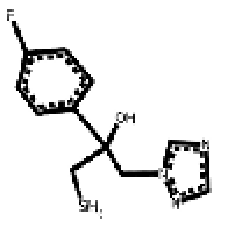 OC(C[SiH3])(Cn1cncn1)c1ccc(F)cc1